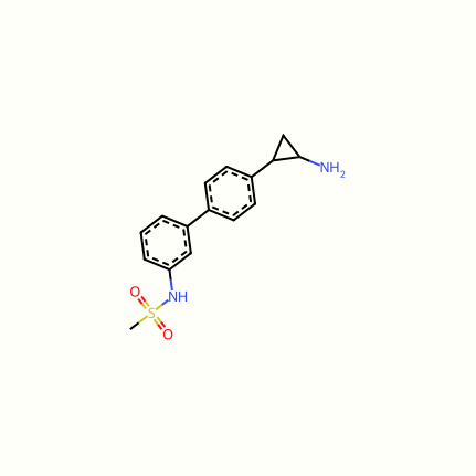 CS(=O)(=O)Nc1cccc(-c2ccc(C3CC3N)cc2)c1